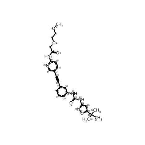 COCCOCC(=O)Nc1ccc(C#Cc2cccc(NC(=O)Nc3cc(C(C)(C)C)on3)c2)cn1